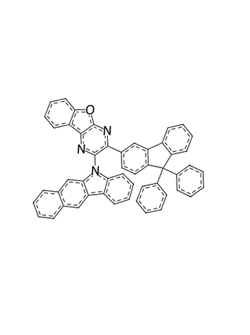 c1ccc(C2(c3ccccc3)c3ccccc3-c3cc(-c4nc5oc6ccccc6c5nc4-n4c5ccccc5c5cc6ccccc6cc54)ccc32)cc1